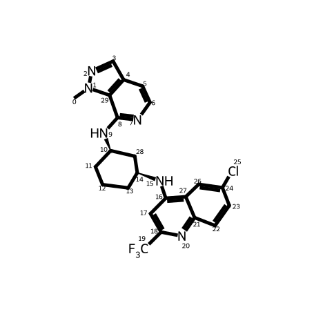 Cn1ncc2ccnc(N[C@@H]3CCC[C@H](Nc4cc(C(F)(F)F)nc5ccc(Cl)cc45)C3)c21